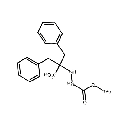 CC(C)(C)OC(=O)NNC(Cc1ccccc1)(Cc1ccccc1)C(=O)O